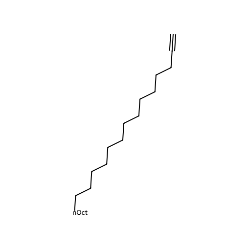 [C]#CCCCCCCCCCCCCCCCCCCC[CH2]